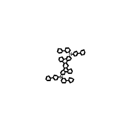 c1ccc(-c2ccc(N(c3cccc(-c4ccccc4)c3)c3ccc4c(c3)c3ccccc3c3cc5c6ccc(N(c7ccc(-c8ccccc8)cc7)c7cccc(-c8ccccc8)c7)cc6c6ccccc6c5cc43)cc2)cc1